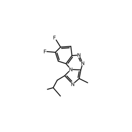 Cc1nc(CC(C)C)n2c1nnc1cc(F)c(F)cc12